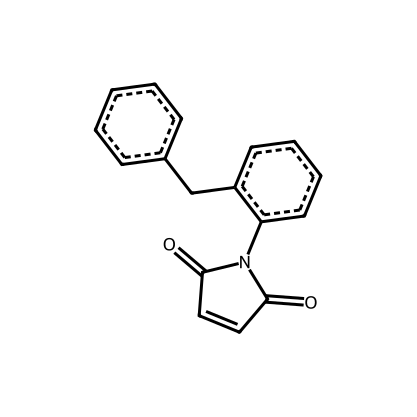 O=C1C=CC(=O)N1c1ccccc1Cc1ccccc1